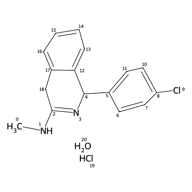 CNC1=NC(c2ccc(Cl)cc2)c2ccccc2C1.Cl.O